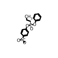 CCC[P@](=O)(Oc1ccccc1)Oc1ccc([N+](=O)[O-])cc1